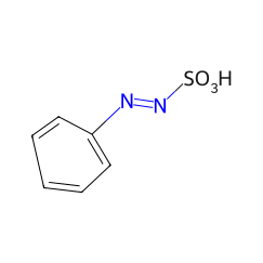 O=S(=O)(O)/N=N/c1ccccc1